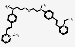 CC[n+]1ccccc1/C=C/c1ccc(N(C)CCSSCCN(C)c2ccc(/C=C/c3cccc[n+]3C)cc2)cc1